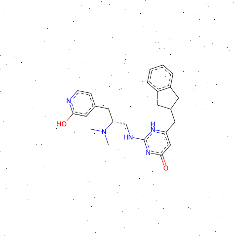 CN(C)[C@@H](CNc1nc(=O)cc(CC2Cc3ccccc3C2)[nH]1)Cc1ccnc(O)c1